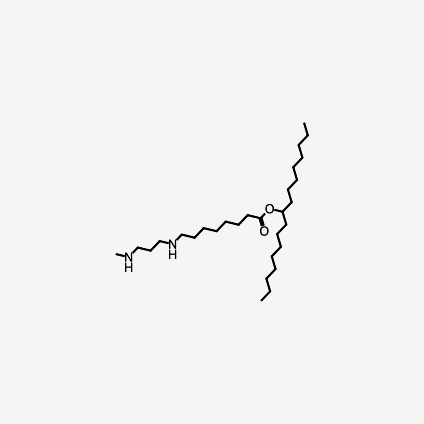 CCCCCCCCC(CCCCCCCC)OC(=O)CCCCCCCNCCCNC